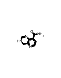 NC(=O)c1ccnc2c1N=CNC2